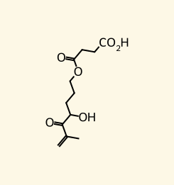 C=C(C)C(=O)C(O)CCCOC(=O)CCC(=O)O